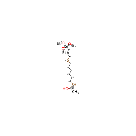 CCO[Si](CCCSCCCCCC[SH]=C(C)O)(OCC)OCC